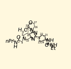 CCCNC(=O)CN1CCc2c(nc(-c3ccc(NC(=O)NCC)cc3)nc2N2CCOCC2C)C1